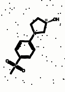 CS(=O)(=O)c1ccc(N2CC[C@H](O)C2)cc1